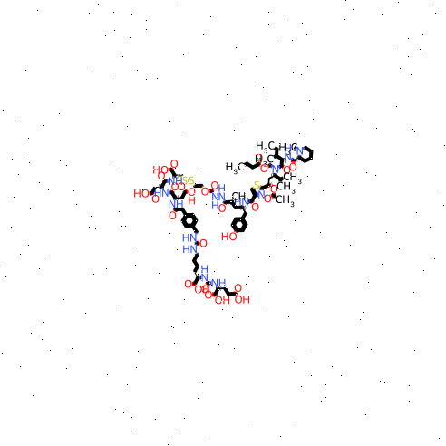 CCCC(=O)OCN(C(=O)[C@@H](NC(=O)[C@H]1CCCCN1C)C(C)CC)[C@H](C[C@@H](OC(C)=O)c1nc(C(=O)N[C@@H](Cc2ccc(O)cc2)C[C@H](C)C(=O)NNC(=O)OCCSSC[C@H](NC(=O)[C@@H](CC(=O)O)NC(=O)[C@@H](CC(=O)O)NC(=O)Cc2ccc(CNC(=O)NCCCC[C@H](NC(=O)N[C@@H](CCC(=O)O)C(=O)O)C(=O)O)cc2)C(=O)O)cs1)C(C)C